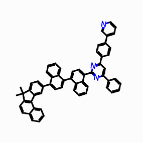 CC1(C)c2ccc(-c3ccc(-c4ccc(-c5nc(-c6ccccc6)cc(-c6ccc(-c7cccnc7)cc6)n5)c5ccccc45)c4ccccc34)cc2-c2c1ccc1ccccc21